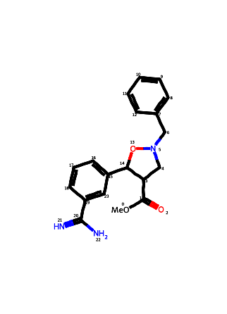 COC(=O)C1CN(Cc2ccccc2)OC1c1cccc(C(=N)N)c1